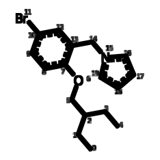 CCC(CC)COc1ccc(Br)cc1Cn1cccc1